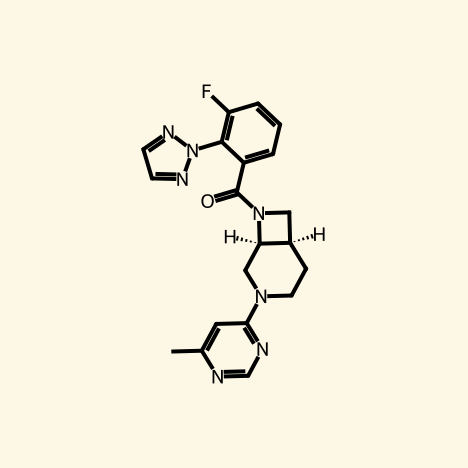 Cc1cc(N2CC[C@@H]3CN(C(=O)c4cccc(F)c4-n4nccn4)[C@@H]3C2)ncn1